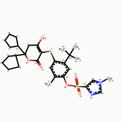 Cc1cc(SC2=C(O)CC(C3CCCC3)(C3CCCC3)OC2=O)c(C(C)(C)C)cc1OS(=O)(=O)c1cn(C)cn1